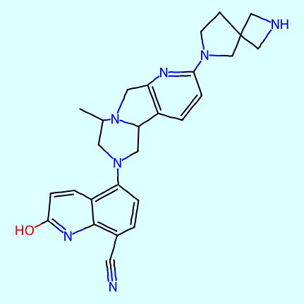 CC1CN(c2ccc(C#N)c3nc(O)ccc23)CC2c3ccc(N4CCC5(CNC5)C4)nc3CN12